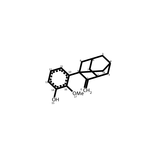 C=C1C2CC3CC(C2)CC1(c1cccc(O)c1OC)C3